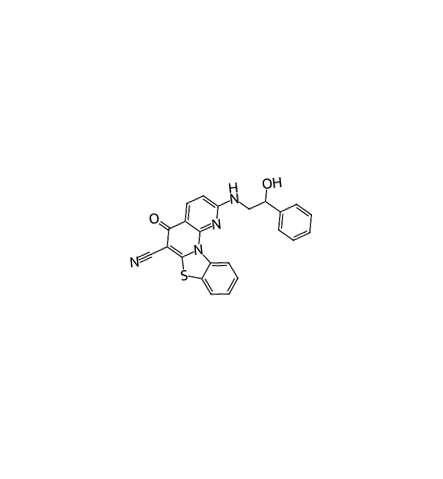 N#Cc1c(=O)c2ccc(NCC(O)c3ccccc3)nc2n2c1sc1ccccc12